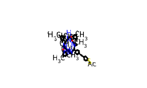 CC(=O)Sc1ccc(C#Cc2ccc(-c3c4nc(c(-c5c(C)cc(C)cc5C)c5ccc([nH]5)c(-c5c(C)cc(C)cc5C)c5nc(c(-c6c(C)cc(C)cc6C)c6ccc3[nH]6)C=C5)C=C4)cc2)cc1